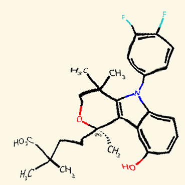 CC(C)(CC[C@@]1(C)OCC(C)(C)c2c1c1c(O)cccc1n2-c1ccc(F)c(F)c1)C(=O)O